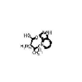 CC(C)[C@H](N)C(=O)O.c1cnc2cn[nH]c2c1